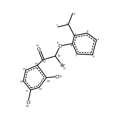 CC(C)c1ccccc1OC(Br)C(=O)c1ccc(Cl)cc1Cl